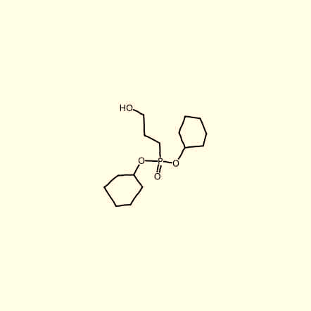 O=P(CCCO)(OC1CCCCC1)OC1CCCCC1